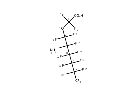 N.O=C(O)C(F)(F)OC(F)(F)C(F)(F)C(F)(F)C(F)(F)C(F)(F)C(F)(F)F